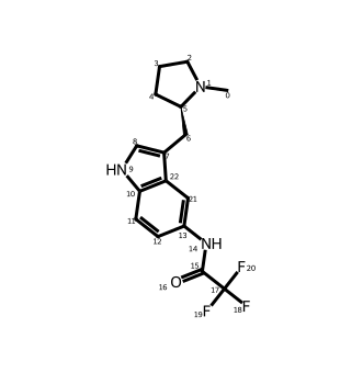 CN1CCC[C@@H]1Cc1c[nH]c2ccc(NC(=O)C(F)(F)F)cc12